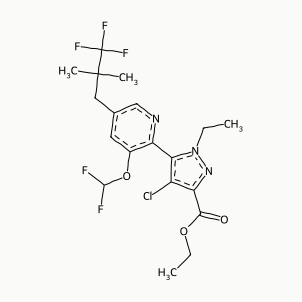 CCOC(=O)c1nn(CC)c(-c2ncc(CC(C)(C)C(F)(F)F)cc2OC(F)F)c1Cl